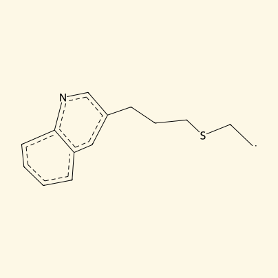 [CH2]CSCCCc1cnc2ccccc2c1